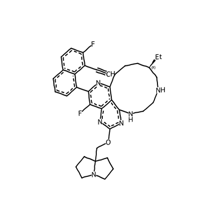 C#Cc1c(F)ccc2cccc(-c3nc4c5c(nc(OCC67CCCN6CCC7)nc5c3F)NCCNC[C@H](CC)CCC4)c12